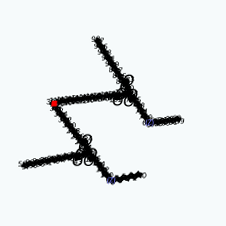 CCCCCCCC/C=C\CCCCCCCC(=O)OC(COC(=O)CCCCCCCCCCCCCCC)COC(=O)CCCCCCCCCCCCCCC.CCCCCCCC/C=C\CCCCCCCC(=O)OC(COC(=O)CCCCCCCCCCCCCCC)COC(=O)CCCCCCCCCCCCCCCCC